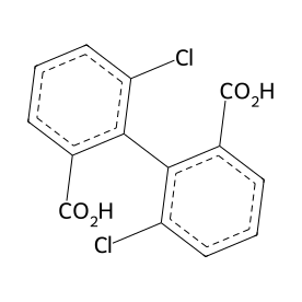 O=C(O)c1cccc(Cl)c1-c1c(Cl)cccc1C(=O)O